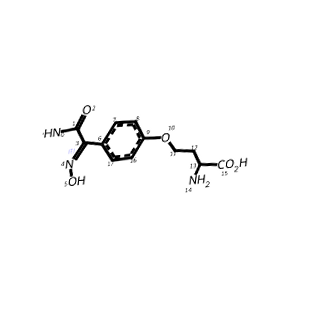 [NH]C(=O)/C(=N/O)c1ccc(OCCC(N)C(=O)O)cc1